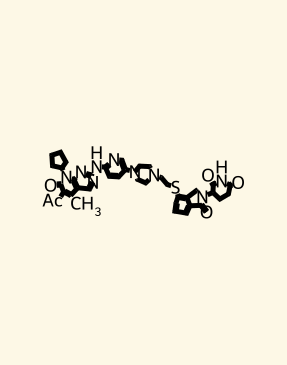 CC(=O)c1c(C)c2cnc(Nc3ccc(N4CCN(CCSc5cccc6c5CN(C5CCC(=O)NC5=O)C6=O)CC4)cn3)nc2n(C2CCCC2)c1=O